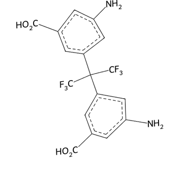 Nc1cc(C(=O)O)cc(C(c2cc(N)cc(C(=O)O)c2)(C(F)(F)F)C(F)(F)F)c1